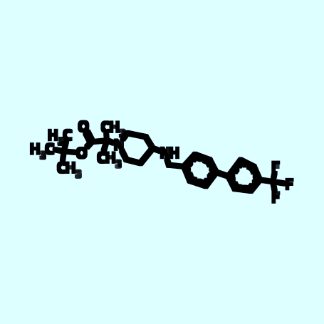 CC(C)(C)OC(=O)C(C)(C)N1CCC(NCc2ccc(-c3ccc(C(F)(F)F)cc3)cc2)CC1